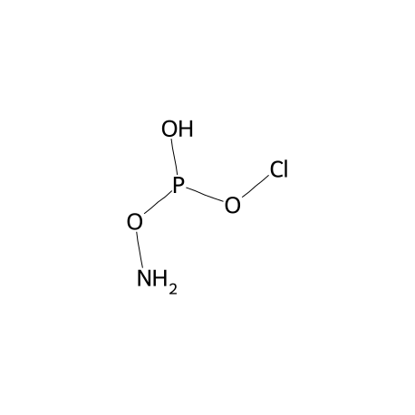 NOP(O)OCl